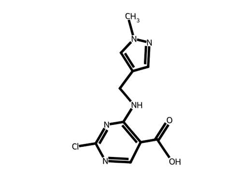 Cn1cc(CNc2nc(Cl)ncc2C(=O)O)cn1